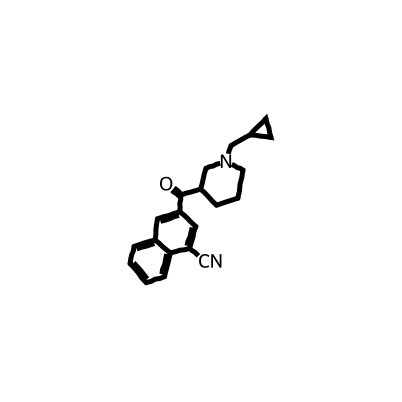 N#Cc1cc(C(=O)C2CCCN(CC3CC3)C2)cc2ccccc12